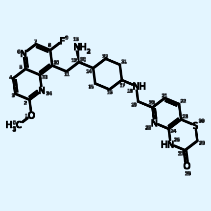 COc1ccc2ncc(F)c(C[C@@H](N)C3CCC(NCc4ccc5c(n4)NC(=O)CS5)CC3)c2n1